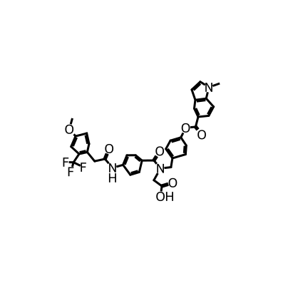 COc1ccc(CC(=O)Nc2ccc(C(=O)N(CC(=O)O)Cc3ccc(OC(=O)c4ccc5c(ccn5C)c4)cc3)cc2)c(C(F)(F)F)c1